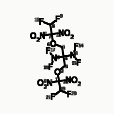 O=[N+]([O-])C(OCC(COC(C(F)F)([N+](=O)[O-])[N+](=O)[O-])(N(F)F)N(F)F)(C(F)F)[N+](=O)[O-]